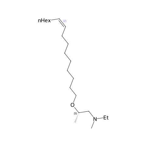 CCCCCC/C=C\CCCCCCCCO[C@@H](C)CN(C)CC